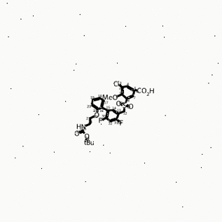 COc1c(Cl)cc(C(=O)O)cc1S(=O)(=O)Cc1cc(-c2ccccc2OCCNC(=O)OC(C)(C)C)c(F)cc1F